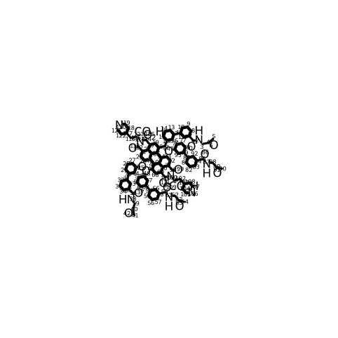 O=C(NCC1CO1)c1cccc(-c2cccc(Cc3cc4c5c(cc(Oc6cccc(-c7cccc(C(=O)NCC8CO8)c7)c6)c6c7c(Oc8cccc(-c9cccc(C(=O)NCC%10CO%10)c9)c8)cc8c9c(cc(Oc%10cccc(-c%11cccc(C(=O)NCC%12CO%12)c%11)c%10)c(c3c56)c97)C(=O)N(C(Cc3ccncc3)C(=O)O)C8=O)C(=O)N(C(Cc3ccncc3)C(=O)O)C4=O)c2)c1